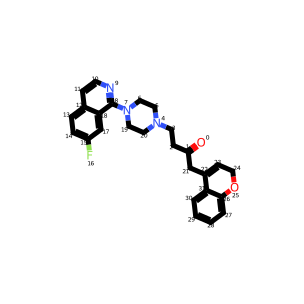 O=C(CCN1CCN(c2nccc3ccc(F)cc23)CC1)CC1=CCOc2ccccc21